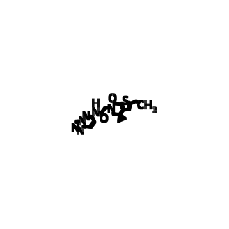 CCc1cc2c(s1)C(=O)N(CC(=O)Nc1ccc3nncn3n1)CC21CC1